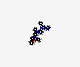 C1=C(c2ccccc2)N=C(c2cccc(-n3c4ccccc4c4cc5c6ccc7c8ccccc8oc7c6n(-c6ccccc6)c5cc43)c2)NC1c1ccccc1